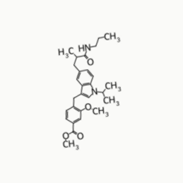 CCCNC(=O)C(C)Cc1ccc2c(c1)c(Cc1ccc(C(=O)OC)cc1OC)cn2C(C)C